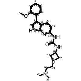 COc1ccccc1-c1c[nH]c2nc(NC(=O)NC3CN(CCN(C)C)C3)ccc12